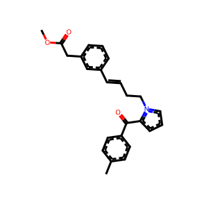 COC(=O)Cc1cccc(/C=C/CCn2cccc2C(=O)c2ccc(C)cc2)c1